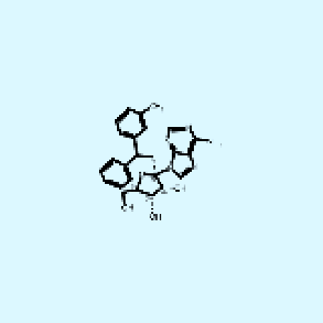 Cc1cccc(C(C[C@@]2(n3cnc4c(N)ncnc43)O[C@H](CO)[C@@H](O)[C@H]2O)c2ccccc2)c1